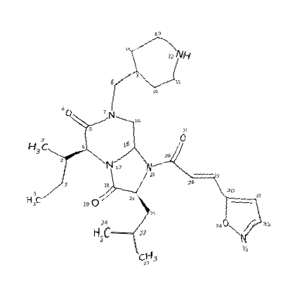 CCC(C)[C@H]1C(=O)N(CC2CCNCC2)CC2N1C(=O)[C@H](CC(C)C)N2C(=O)/C=C/c1ccno1